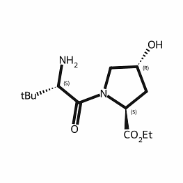 CCOC(=O)[C@@H]1C[C@@H](O)CN1C(=O)[C@@H](N)C(C)(C)C